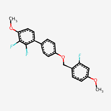 COc1ccc(COc2ccc(-c3ccc(OC)c(F)c3F)cc2)c(F)c1